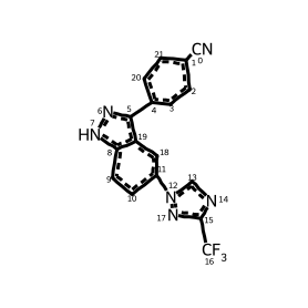 N#Cc1ccc(-c2n[nH]c3ccc(-n4cnc(C(F)(F)F)n4)cc23)cc1